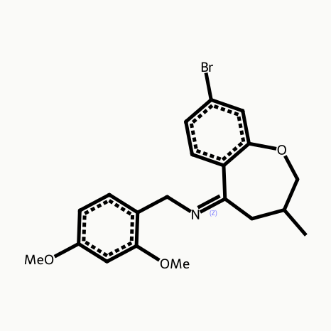 COc1ccc(C/N=C2/CC(C)COc3cc(Br)ccc32)c(OC)c1